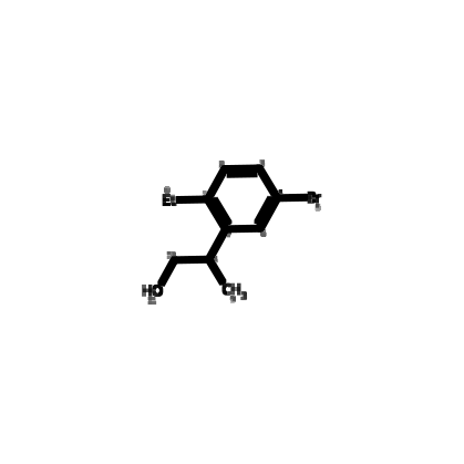 CCc1ccc(Br)cc1[C](C)CO